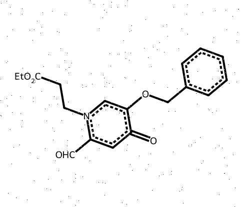 CCOC(=O)CCn1cc(OCc2ccccc2)c(=O)cc1C=O